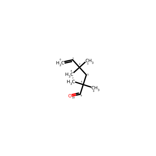 C=CC(C)(C)CC(C)(C)C=O